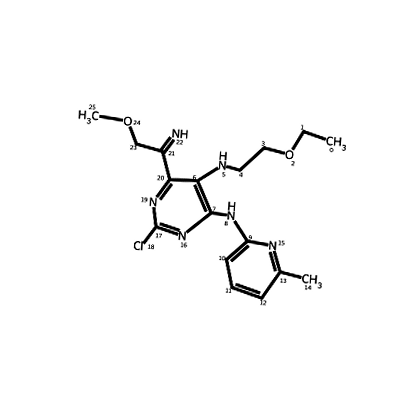 CCOCCNc1c(Nc2cccc(C)n2)nc(Cl)nc1C(=N)COC